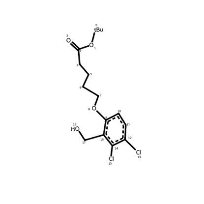 CC(C)(C)OC(=O)CCCCOc1ccc(Cl)c(Cl)c1CO